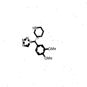 COc1ccc(C([C@H]2CCCNC2)n2cnnn2)cc1OC